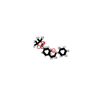 CC1(C)OB(c2ccc3c(c2)O[C@H](c2ccccc2)C=C3)OC1(C)C